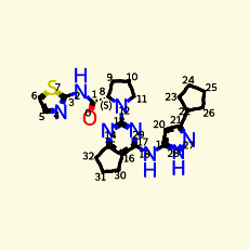 O=C(Nc1nccs1)[C@@H]1CCCN1c1nc2c(c(Nc3cc(C4CCCC4)n[nH]3)n1)CCC2